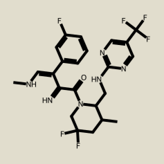 CN/C=C(\C(=N)C(=O)N1CC(F)(F)CC(C)C1CNc1ncc(C(F)(F)F)cn1)c1cccc(F)c1